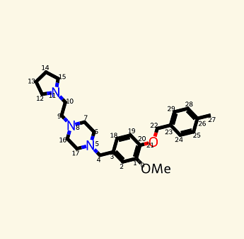 COc1cc(CN2CCN(CCN3CCCC3)CC2)ccc1OCc1ccc(C)cc1